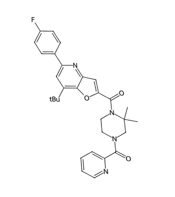 CC(C)(C)c1cc(-c2ccc(F)cc2)nc2cc(C(=O)N3CCN(C(=O)c4ccccn4)CC3(C)C)oc12